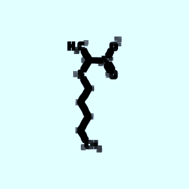 CCCCCSC(C)[N+](=O)[O-]